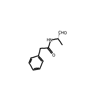 C[C@@H](C=O)NC(=O)Cc1ccccc1